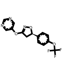 FC(F)(F)Oc1ccc([C@H]2CC(Oc3cncnc3)=NO2)cc1